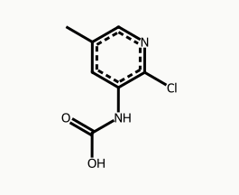 Cc1cnc(Cl)c(NC(=O)O)c1